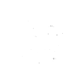 CCOC(=O)C1CN(C2CC2)c2c(OC)c(F)c(Cl)c(N)c2C1=O